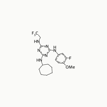 COc1ccc(Nc2nc(NCC(F)(F)F)nc(NC3CCCCCC3)n2)cc1F